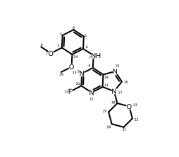 COc1cccc(Nc2nc(F)nc3c2ncn3C2CCCCO2)c1OC